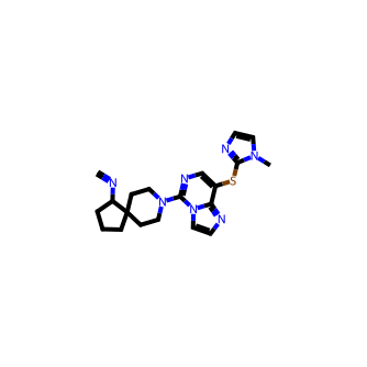 C=NC1CCCC12CCN(c1ncc(Sc3nccn3C)c3nccn13)CC2